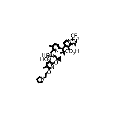 Cc1ccc(C(c2ccn3c(C(F)(F)F)nnc3c2C)C(C)(C)C(=O)O)nc1CN1CC2(CC2)Oc2nc(OCCN3CCCC3)c(C)cc2S1(O)O